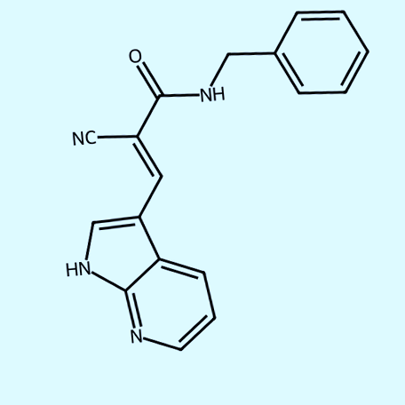 N#C/C(=C\c1c[nH]c2ncccc12)C(=O)NCc1ccccc1